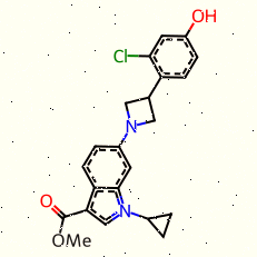 COC(=O)c1cn(C2CC2)c2cc(N3CC(c4ccc(O)cc4Cl)C3)ccc12